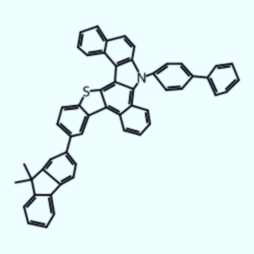 CC1(C)c2ccccc2-c2ccc(-c3ccc4sc5c(c4c3)c3ccccc3c3c5c4c5ccccc5ccc4n3-c3ccc(-c4ccccc4)cc3)cc21